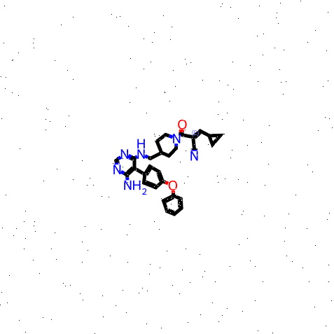 N#C/C(=C\C1CC1)C(=O)N1CCC(CNc2ncnc(N)c2-c2ccc(Oc3ccccc3)cc2)CC1